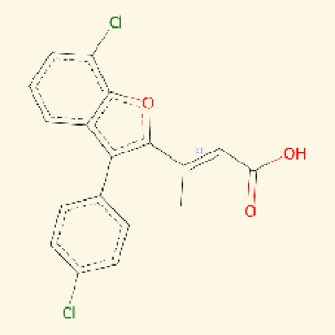 C/C(=C\C(=O)O)c1oc2c(Cl)cccc2c1-c1ccc(Cl)cc1